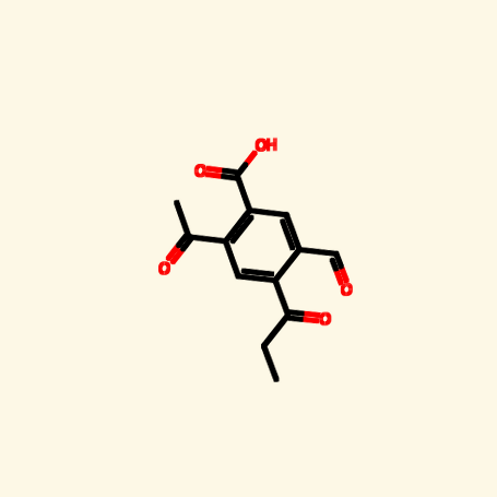 CCC(=O)c1cc(C(C)=O)c(C(=O)O)cc1C=O